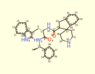 C[C@@H](NC(=O)[C@H](Cc1c[nH]c2ccccc12)NC(=O)C1Cc2ccccc2C12CCNCC2)c1ccccc1